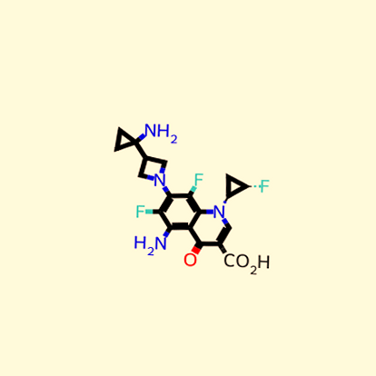 Nc1c(F)c(N2CC(C3(N)CC3)C2)c(F)c2c1c(=O)c(C(=O)O)cn2[C@@H]1C[C@@H]1F